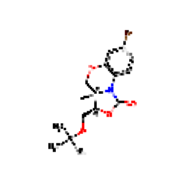 CC(C)(C)[Si](C)(C)OC[C@@H]1OC(=O)N2c3ccc(Br)cc3OC[C@H]12